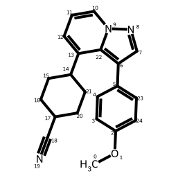 COc1ccc(-c2cnn3cccc(C4CCC(C#N)CC4)c23)cc1